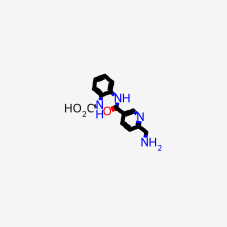 NCc1ccc(C(=O)Nc2ccccc2NC(=O)O)cn1